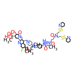 CC[C@@]1(O)C(=O)OCc2c1cc1n(c2=O)Cc2c-1nc1cc(F)c(OC)cc1c2CN1CCC([N+](C)(C)Cc2ccc(NC(=O)[C@H](C)NC(=O)CCC(=O)N(CCSSc3ccccn3)CCSSc3ccccn3)cc2)CC1